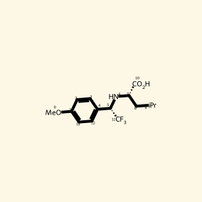 COc1ccc([C@H](N[C@@H](CC(C)C)C(=O)O)C(F)(F)F)cc1